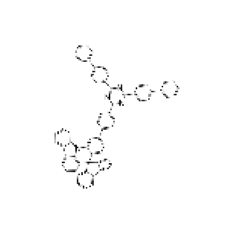 c1ccc(-c2ccc(-c3nc(-c4ccc(-c5ccccc5)cc4)nc(-c4ccc(-c5ccc6c(c5)-n5c7ccccc7c7cccc(c75)C65c6ccccc6-c6ccccc65)cc4)n3)cc2)cc1